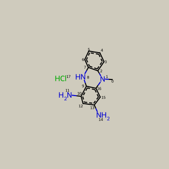 CN1c2ccccc2Nc2c(N)cc(N)cc21.Cl